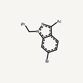 CC(=O)c1nn(CC(C)C)c2cc(Br)ccc12